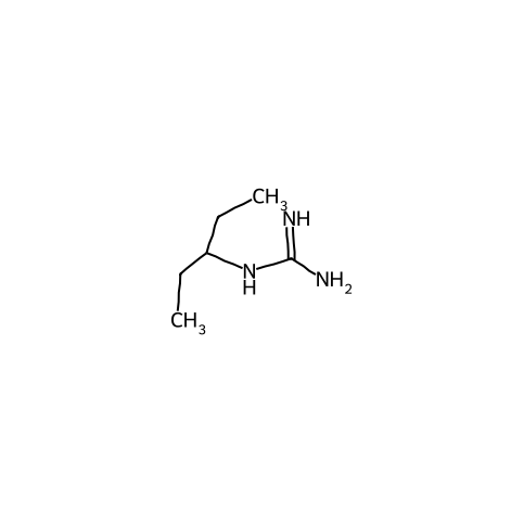 CCC(CC)NC(=N)N